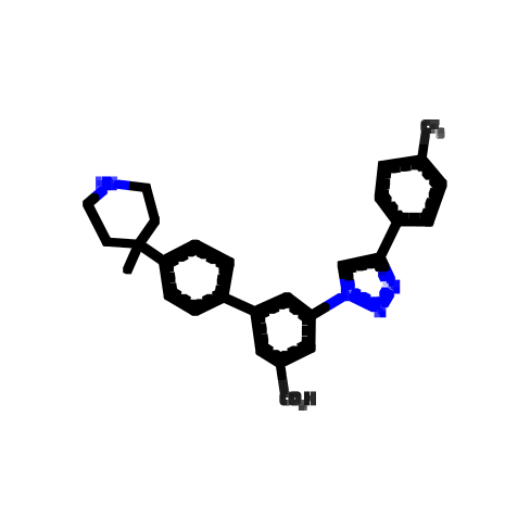 CC1(c2ccc(-c3cc(C(=O)O)cc(-n4cc(-c5ccc(C(F)(F)F)cc5)nn4)c3)cc2)CCNCC1